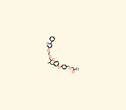 CCC(=O)COCc1ccc(Oc2cccc(CC(C)C(=O)COCCOc3ccc(-c4ccccc4)nc3)c2)cc1